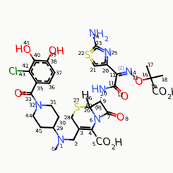 CN(CC1=C(C(=O)O)N2C(=O)[C@@H](NC(=O)/C(=N\OC(C)(C)C(=O)O)c3csc(N)n3)[C@H]2SC1)C1CCN(C(=O)c2ccc(O)c(O)c2Cl)CC1